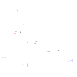 CC(=CCCN)C(=O)OC(C)C.NC(=O)O